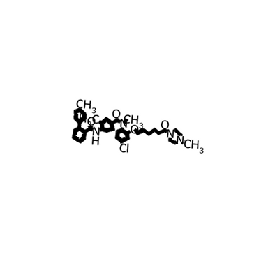 Cc1ccc(-c2ccccc2C(=O)Nc2ccc(C(=O)N(C)c3ccc(Cl)cc3OC=CCCCC(=O)N3CCN(C)CC3)cc2C)cc1